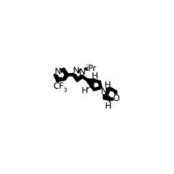 CC(C)n1nc(-c2cncc(C(F)(F)F)c2)cc1C1[C@H]2CC(N3C[C@H]4C[C@@H]3CO4)C[C@@H]12